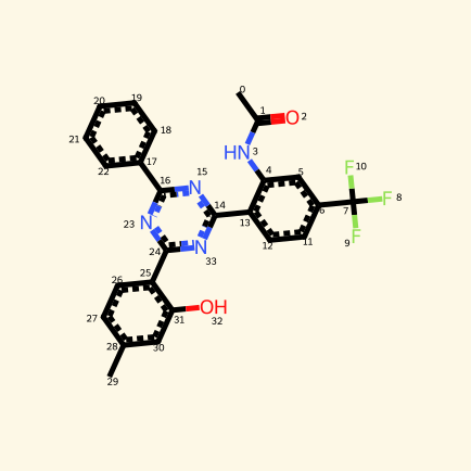 CC(=O)Nc1cc(C(F)(F)F)ccc1-c1nc(-c2ccccc2)nc(-c2ccc(C)cc2O)n1